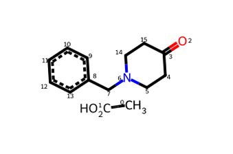 CC(=O)O.O=C1CCN(Cc2ccccc2)CC1